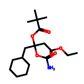 CCOC(=O)CC(CC1CCCCC1)(OC(N)=O)OC(=O)C(C)(C)C